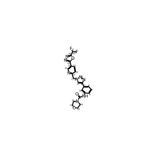 O=C(Nc1cccc(-c2cn(Cc3ccc(-c4nnc(C(F)F)o4)cn3)nn2)c1)N1CCOCC1